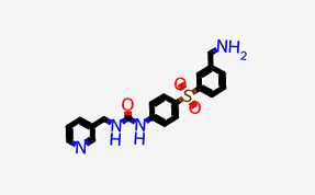 NCc1cccc(S(=O)(=O)c2ccc(NC(=O)NCc3cccnc3)cc2)c1